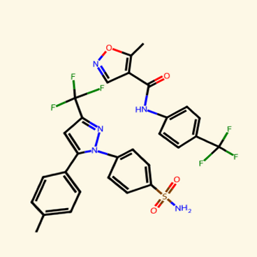 Cc1ccc(-c2cc(C(F)(F)F)nn2-c2ccc(S(N)(=O)=O)cc2)cc1.Cc1oncc1C(=O)Nc1ccc(C(F)(F)F)cc1